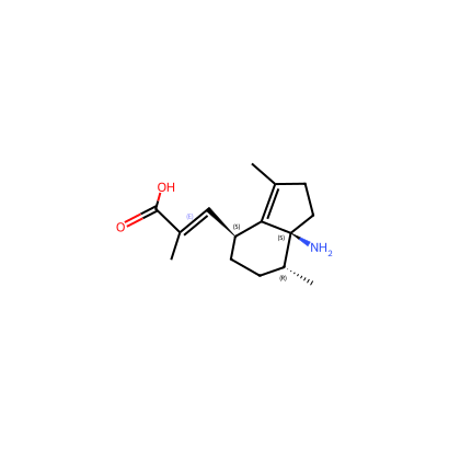 CC1=C2[C@H](/C=C(\C)C(=O)O)CC[C@@H](C)[C@@]2(N)CC1